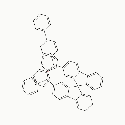 c1ccc(-c2ccc(N(c3ccccc3)c3ccc4c(c3)C3(c5ccccc5-c5ccc(N(c6ccccc6)c6ccccc6)cc53)c3ccccc3-4)cc2)cc1